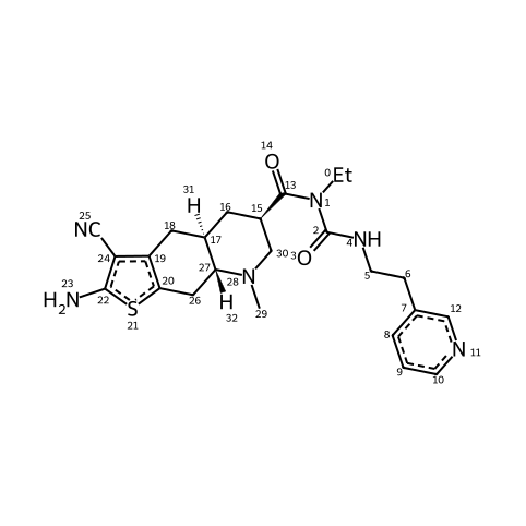 CCN(C(=O)NCCc1cccnc1)C(=O)[C@@H]1C[C@@H]2Cc3c(sc(N)c3C#N)C[C@H]2N(C)C1